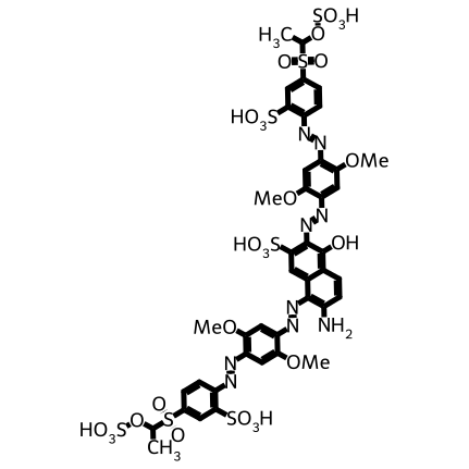 COc1cc(N=Nc2c(S(=O)(=O)O)cc3c(N=Nc4cc(OC)c(N=Nc5ccc(S(=O)(=O)C(C)OS(=O)(=O)O)cc5S(=O)(=O)O)cc4OC)c(N)ccc3c2O)c(OC)cc1N=Nc1ccc(S(=O)(=O)C(C)OS(=O)(=O)O)cc1S(=O)(=O)O